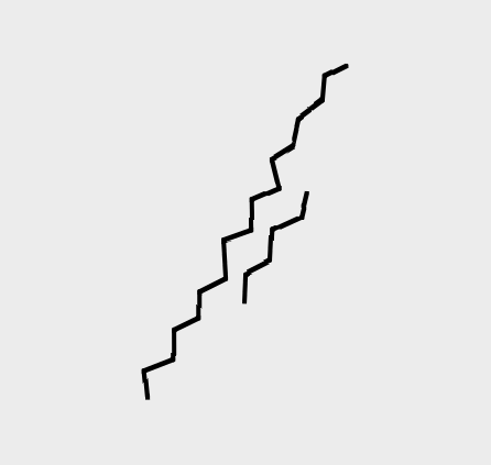 CCCCCC.CCCCCCCCCCCCCCCCC